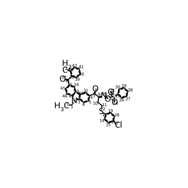 CCn1c2ccc(C(=O)/C(CCSc3ccc(Cl)cc3)=N/OS(=O)(=O)c3ccccc3)cc2c2cc(C(=O)c3ccccc3C)ccc21